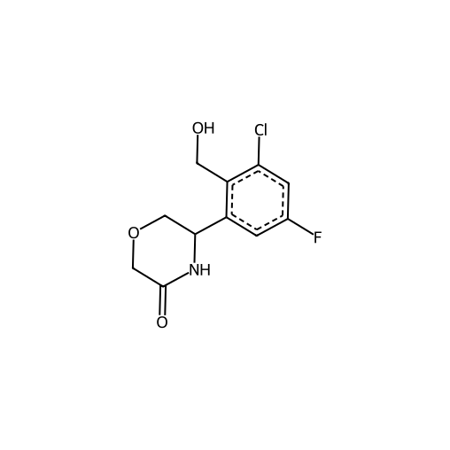 O=C1COCC(c2cc(F)cc(Cl)c2CO)N1